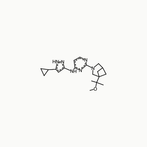 COC(C)(C)C12CC(CN(c3nccc(Nc4cc(C5CC5)[nH]n4)n3)C1)C2